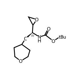 CC(C)(C)OC(=O)N[C@@H](CC1CCOCC1)C1CO1